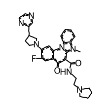 Cn1c2ccccc2n2c3cc(N4CCC(c5cnccn5)C4)c(F)cc3c(=O)c(C(=O)NCCN3CCCC3)c12